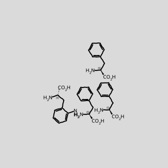 N[C@@H](Cc1ccccc1)C(=O)O.N[C@@H](Cc1ccccc1)C(=O)O.N[C@@H](Cc1ccccc1)C(=O)O.Nc1ccccc1C[C@H](N)C(=O)O